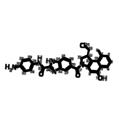 Cc1cccc2c(O)cc3c(c12)[C@H](CCl)CN3C(=O)c1ccc2[nH]c(C(=O)Nc3ccc(N)cc3)nc2c1